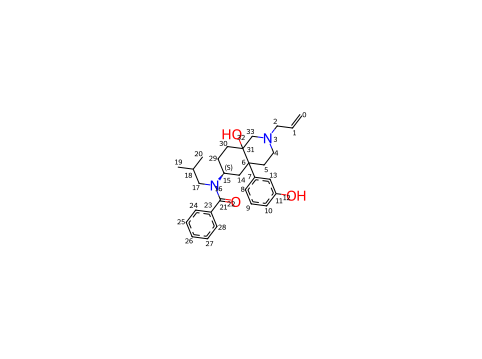 C=CCN1CCC2(c3cccc(O)c3)C[C@@H](N(CC(C)C)C(=O)c3ccccc3)CCC2(O)C1